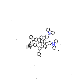 CCC1(CC2(C(F)(F)F)c3cc(-c4cc(-c5ccccc5)cc(-c5ccccc5)c4)ccc3C3C=C(N(c4ccccc4)c4ccccc4)C=CC32)c2ccc(-n3c4ccccc4c4ccccc43)cc2-c2ccc(-c3ccc4c(c3)-c3ccccc3C4(CCCC(C)C)CCCC(C)C)cc21